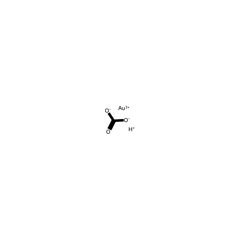 O=C([O-])[O-].[Au+3].[H+]